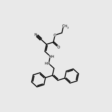 CCOC(=O)C(C#N)=CNNCC(=Cc1ccccc1)c1ccccc1